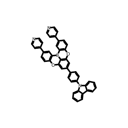 c1ccc2c(c1)c1ccccc1n2-c1ccc(-c2cc3c4c(c2)Oc2ccc(-c5ccncc5)cc2B4c2cc(-c4ccncc4)ccc2O3)cc1